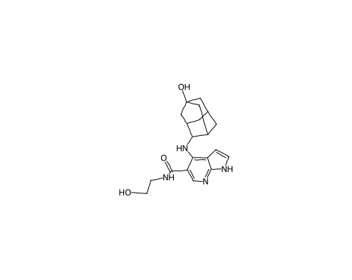 O=C(NCCO)c1cnc2[nH]ccc2c1NC1C2CC3CC1CC(O)(C3)C2